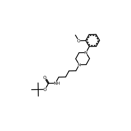 COc1ccccc1N1CCN(CCCCNC(=O)OC(C)(C)C)CC1